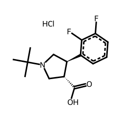 CC(C)(C)N1C[C@@H](C(=O)O)[C@H](c2cccc(F)c2F)C1.Cl